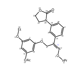 CCCO/N=C(\COc1cc(OCC)cc(OC(C)=O)c1)c1cccc(N2CCOC2=O)c1